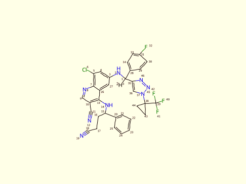 [2H]C(Nc1cc(Cl)c2ncc(C#N)c(NC(CCC#N)c3ccccc3)c2c1)(c1ccc(F)cc1)c1cn(C2(C(F)(F)F)CC2)nn1